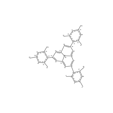 Cc1cc(C)c(C2=CC3=CC(c4c(C)cc(C)cc4C)=CC4=CC(c5c(C)cc(C)cc5C)=CC(=C2)N34)c(C)c1